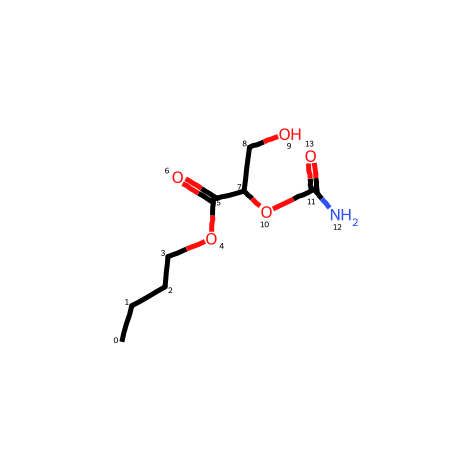 CCCCOC(=O)C(CO)OC(N)=O